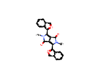 CC(C)N1C(=O)C2=C(c3occ4ccccc34)N(C(C)C)C(=O)C2=C1c1occ2ccccc12